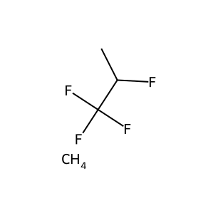 C.CC(F)C(F)(F)F